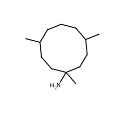 CC1CCCC(C)CCC(C)(N)CC1